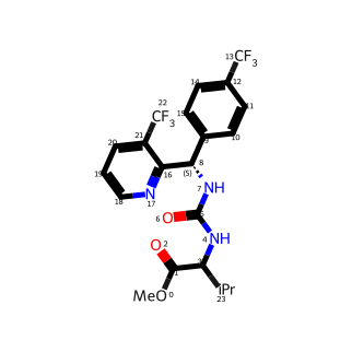 COC(=O)C(NC(=O)N[C@@H](c1ccc(C(F)(F)F)cc1)c1ncccc1C(F)(F)F)C(C)C